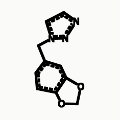 c1cn(Cc2ccc3c(c2)OCO3)nn1